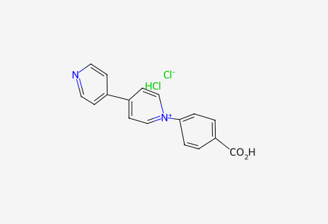 Cl.O=C(O)c1ccc(-[n+]2ccc(-c3ccncc3)cc2)cc1.[Cl-]